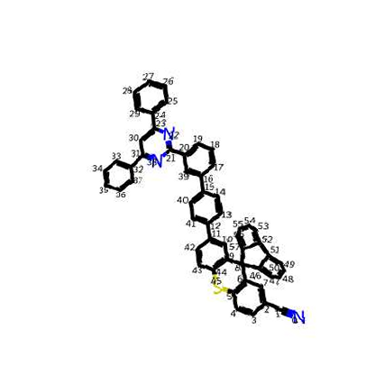 N#Cc1ccc2c(c1)C1(c3cc(-c4ccc(-c5cccc(-c6nc(-c7ccccc7)cc(-c7ccccc7)n6)c5)cc4)ccc3S2)c2ccccc2-c2ccccc21